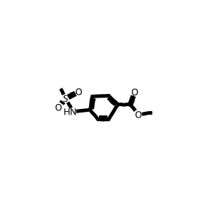 COC(=O)c1ccc(NS(C)(=O)=O)cc1